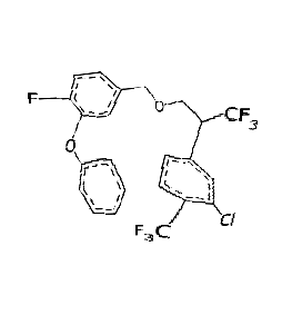 Fc1ccc(COCC(c2ccc(C(F)(F)F)c(Cl)c2)C(F)(F)F)cc1Oc1ccccc1